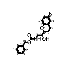 O=C(NC[C@@H](O)[C@@H]1CCc2cc(F)ccc2O1)OCc1ccccc1